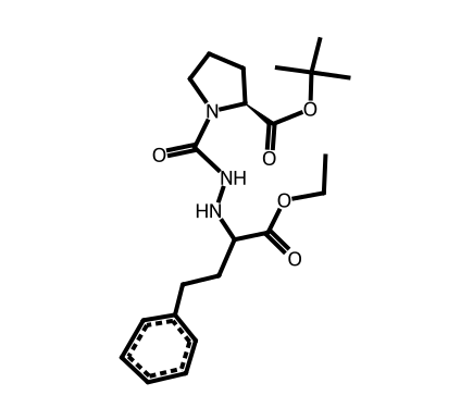 CCOC(=O)C(CCc1ccccc1)NNC(=O)N1CCC[C@H]1C(=O)OC(C)(C)C